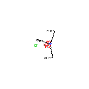 CCCCCCCC/C=C\CCCCCCCCC(O)C[N+](C)(CC(O)CCCCCCCC/C=C\CCCCCCCC)CC(O)CCCCCCCC/C=C\CCCCCCCC.[Cl-]